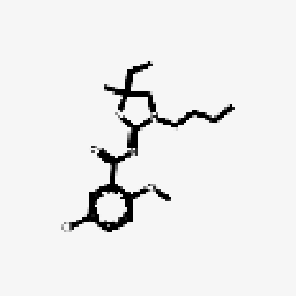 CCCCN1CC(C)(CC)SC1=NC(=O)c1cc(Cl)ccc1OC